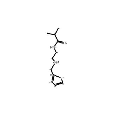 CC(C)C(=O)NCCNCc1nccs1